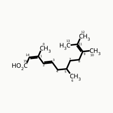 CC(C=CCC(C)CCC(C)=C(C)C)=CC(=O)O